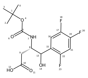 CC(C)(C)OC(=O)N[C@@H](CC(=O)O)C(O)c1cc(F)c(F)cc1F